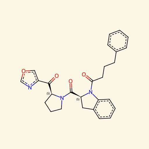 O=C(c1cocn1)[C@@H]1CCCN1C(=O)[C@@H]1Cc2ccccc2N1C(=O)CCCc1ccccc1